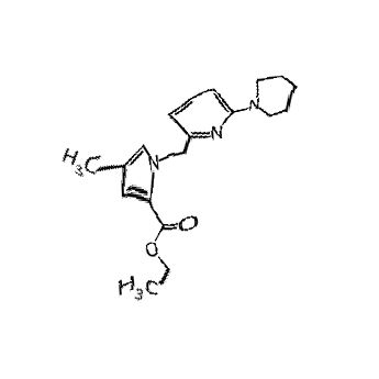 CCOC(=O)c1cc(C)cn1Cc1cccc(N2CCCCC2)n1